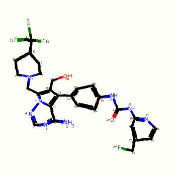 Nc1ncnn2c(CN3CCC(C(F)(F)F)CC3)c(CO)c(-c3ccc(NC(=O)Nc4cc(CF)ccn4)cc3)c12